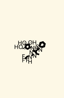 Cc1nc(NCC(F)(F)F)nc(N[C@H]2C[C@@H](CO)[C@H](O)[C@@H]2O)c1-c1nc2ccccc2s1